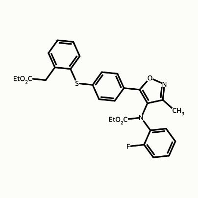 CCOC(=O)Cc1ccccc1Sc1ccc(-c2onc(C)c2N(C(=O)OCC)c2ccccc2F)cc1